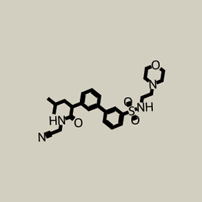 CC(C)CC(C(=O)NCC#N)c1cccc(-c2cccc(S(=O)(=O)NCCN3CCOCC3)c2)c1